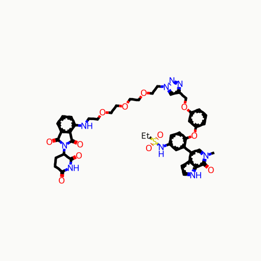 CCS(=O)(=O)Nc1ccc(Oc2cccc(OCc3cn(CCOCCOCCOCCNc4cccc5c4C(=O)N(C4CCC(=O)NC4=O)C5=O)nn3)c2)c(-c2cn(C)c(=O)c3[nH]ccc23)c1